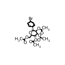 CC(=O)OCC1O[C@@H](c2ccc(Br)cc2)C(OC(C)=O)C(OC(C)=O)[C@@H]1OC(C)=O